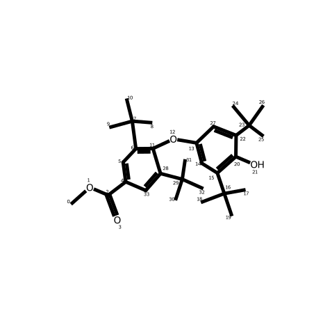 COC(=O)c1cc(C(C)(C)C)c(Oc2cc(C(C)(C)C)c(O)c(C(C)(C)C)c2)c(C(C)(C)C)c1